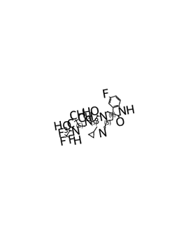 CC(C)(C)[C@@H](CN[C@@H](CC1CC1)C(=O)N1C[C@]2(C[C@H]1C#N)C(=O)Nc1ccc(F)cc12)NC(=O)C(F)(F)F